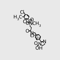 Cc1c(Cl)ccc(S(=O)(=O)N(C)CCC(=O)N(C)Cc2ccc(C3=NCCN3C(=O)O)cc2)c1Cl